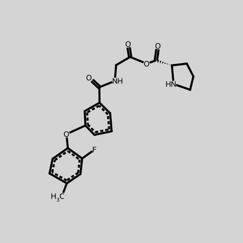 Cc1ccc(Oc2cccc(C(=O)NCC(=O)OC(=O)[C@@H]3CCCN3)c2)c(F)c1